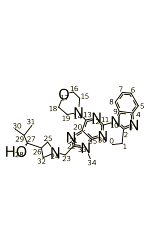 CCc1nc2ccccc2n1-c1nc(N2CCOCC2)c2nc(CN3CC([C@@H](O)C(C)C)C3)n(C)c2n1